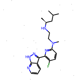 CC(C)C[C@H](C)NCCN(C)c1ccc(F)c(-c2n[nH]c3ncccc23)n1